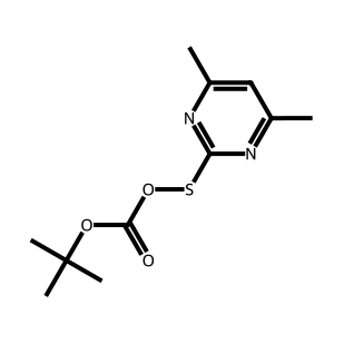 Cc1cc(C)nc(SOC(=O)OC(C)(C)C)n1